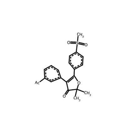 CC(=O)c1cccc(C2=C(c3ccc(S(C)(=O)=O)cc3)OC(C)(C)C2=O)c1